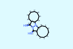 N=C1C2CCCCCCCCC2N2C3CCCCCCCC3C(=N)N12